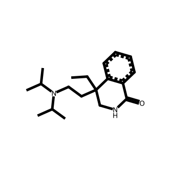 CCC1(CCN(C(C)C)C(C)C)CNC(=O)c2ccccc21